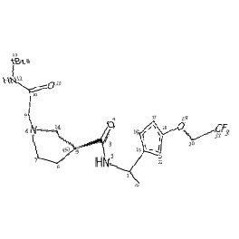 CC(NC(=O)[C@H]1CCN(CC(=O)NC(C)(C)C)C1)c1ccc(OCC(F)(F)F)s1